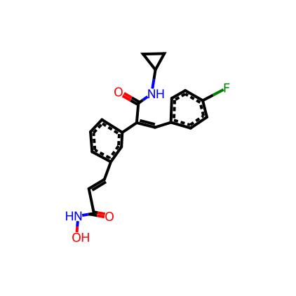 O=C(C=Cc1cccc(C(=Cc2ccc(F)cc2)C(=O)NC2CC2)c1)NO